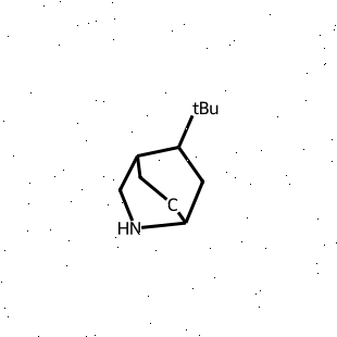 CC(C)(C)C1CC2CCC1CN2